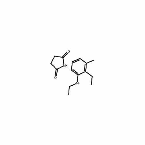 CCNc1cccc(C)c1CC.O=C1CCC(=O)N1